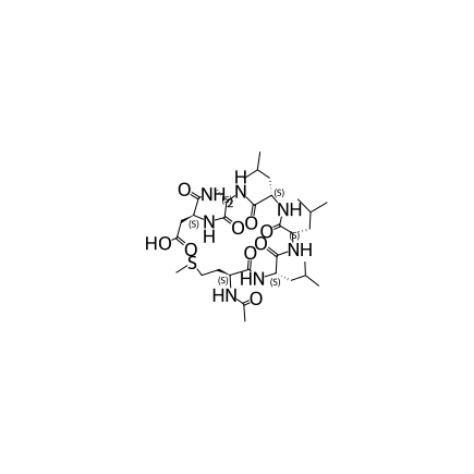 CSCC[C@H](NC(C)=O)C(=O)N[C@@H](CC(C)C)C(=O)N[C@@H](CC(C)C)C(=O)N[C@@H](CC(C)C)C(=O)N[C@@H](C)C(=O)N[C@@H](CC(=O)O)C(N)=O